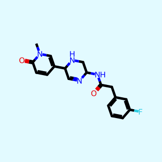 Cn1cc(C2C=NC(NC(=O)Cc3cccc(F)c3)CN2)ccc1=O